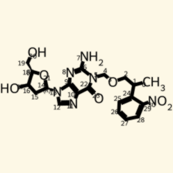 CC(COCn1c(N)nc2c(ncn2[C@H]2CC(O)[C@@H](CO)O2)c1=O)c1ccccc1[N+](=O)[O-]